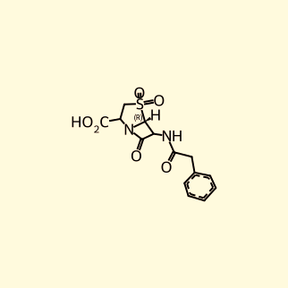 O=C(Cc1ccccc1)NC1C(=O)N2C(C(=O)O)CS(=O)(=O)[C@H]12